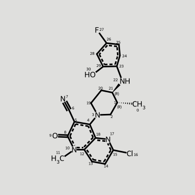 C[C@@H]1CN(c2c(C#N)c(=O)n(C)c3ccc(Cl)nc23)CC[C@H]1Nc1ccc(F)cc1O